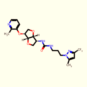 Cc1ncccc1O[C@H]1CO[C@H]2[C@@H]1OC[C@@H]2NC(=O)NCCCn1nc(C(F)(F)F)cc1C